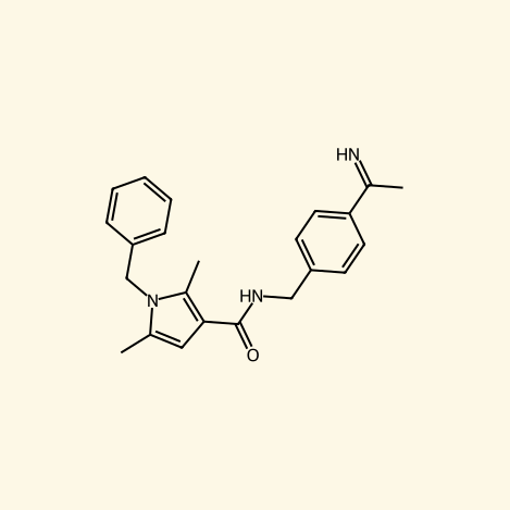 CC(=N)c1ccc(CNC(=O)c2cc(C)n(Cc3ccccc3)c2C)cc1